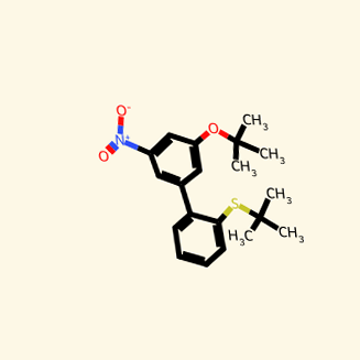 CC(C)(C)Oc1cc(-c2ccccc2SC(C)(C)C)cc([N+](=O)[O-])c1